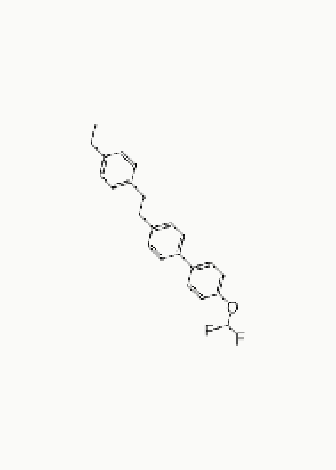 CCc1ccc(CCc2ccc(-c3ccc(OC(F)F)cc3)cc2)cc1